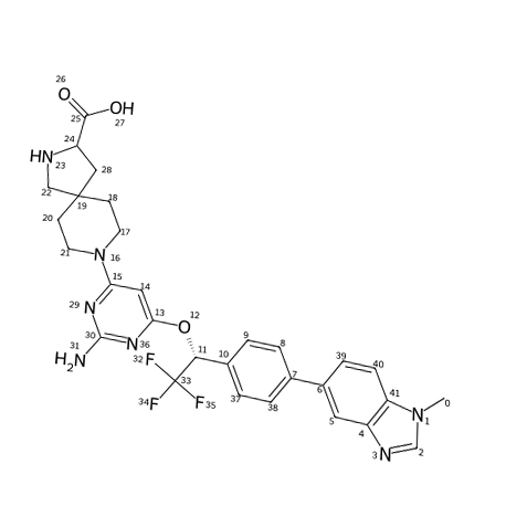 Cn1cnc2cc(-c3ccc([C@@H](Oc4cc(N5CCC6(CC5)CNC(C(=O)O)C6)nc(N)n4)C(F)(F)F)cc3)ccc21